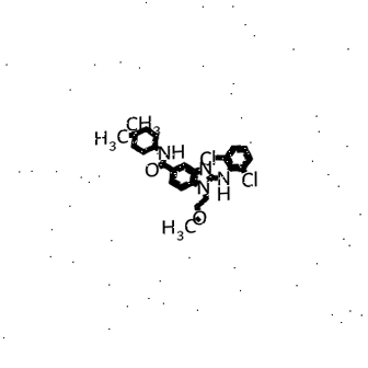 COCCn1c(Nc2c(Cl)cccc2Cl)nc2cc(C(=O)NC3CCC(C)(C)CC3)ccc21